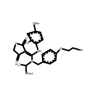 CCCCCC(C)N(Cc1ccc(OCCC(C)C)cc1)C(Nc1ccc(OC)cc1OC)=C1C(=O)COC1=O